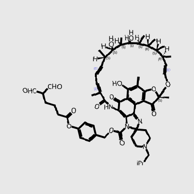 C/C1=C/C=C/[C@H](C)[C@H](O)[C@@H](C)[C@@H](O)[C@@H](C)[C@H](C)[C@H](C)[C@@H](C)/C=C/O[C@@]2(C)Oc3c(C)c(O)c4c(c3C2=O)C2=NC3(CCN(CC(C)C)CC3)N(C(=O)OCc3ccc(OC(=O)CCCC(C=O)C=O)cc3)C2=C(NC1=O)C4=O